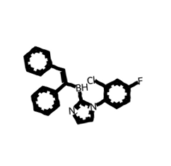 Fc1ccc(-n2ccnc2BC(=Cc2ccccc2)c2ccccc2)c(Cl)c1